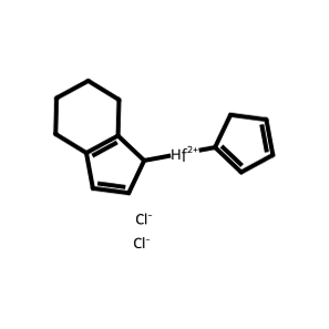 C1=CC[C]([Hf+2][CH]2C=CC3=C2CCCC3)=C1.[Cl-].[Cl-]